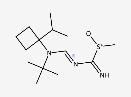 CC(C)C1(N(/C=N/C(=N)[S+](C)[O-])C(C)(C)C)CCC1